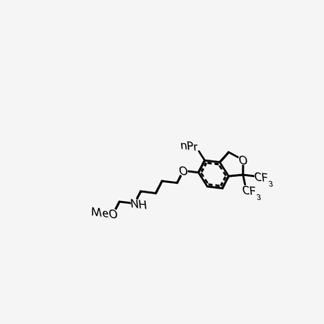 CCCc1c(OCCCCNCOC)ccc2c1COC2(C(F)(F)F)C(F)(F)F